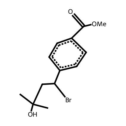 COC(=O)c1ccc(C(Br)CC(C)(C)O)cc1